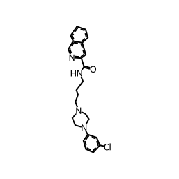 O=C(NCCCCN1CCN(c2cccc(Cl)c2)CC1)c1cc2ccccc2cn1